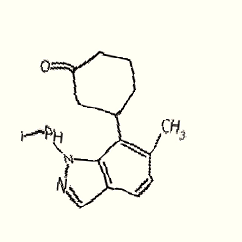 Cc1ccc2cnn(PI)c2c1C1CCCC(=O)C1